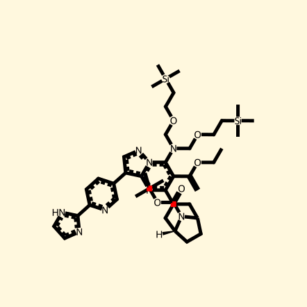 C=C(OCC)c1c(C2CC3CC[C@H](C2)N3C(=O)OC(C)(C)C)nc2c(-c3ccc(-c4ncc[nH]4)nc3)cnn2c1N(COCC[Si](C)(C)C)COCC[Si](C)(C)C